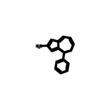 CC1=CC2=CC=CCC(c3ccccc3)C2=C1